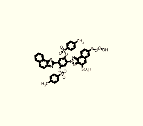 Cc1ccc(S(=O)(=O)Oc2cc(-n3nc4c(S(=O)(=O)O)cc5cc(SOOO)ccc5c4n3)c(OS(=O)(=O)c3ccc(C)cc3)cc2-c2nc3ccc4ccccc4c3s2)cc1